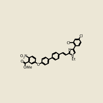 CCn1cc(-c2ccc(Cl)cc2Cl)nc1C=Cc1ccc(-c2ccc(Oc3ccc([N+](=O)[O-])c(C(=O)OC)c3)cc2)cc1